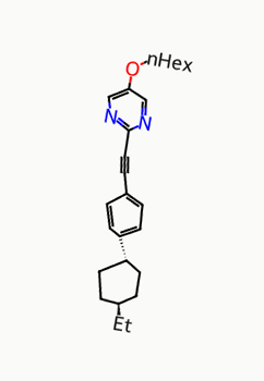 CCCCCCOc1cnc(C#Cc2ccc([C@H]3CC[C@H](CC)CC3)cc2)nc1